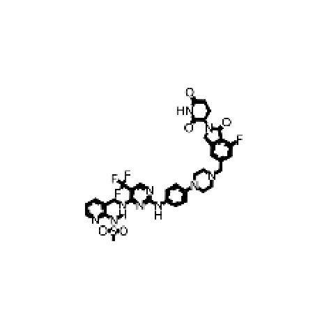 CN(c1ncccc1CNc1nc(Nc2ccc(N3CCN(Cc4cc(F)c5c(c4)CN(C4CCC(=O)NC4=O)C5=O)CC3)cc2)ncc1C(F)(F)F)S(C)(=O)=O